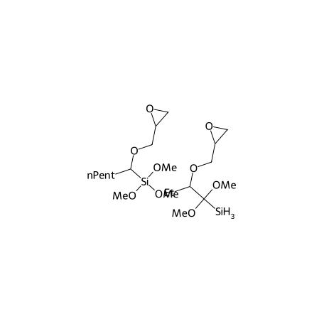 CCC(OCC1CO1)C([SiH3])(OC)OC.CCCCCC(OCC1CO1)[Si](OC)(OC)OC